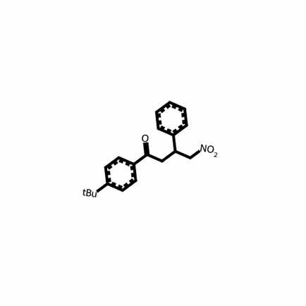 CC(C)(C)c1ccc(C(=O)CC(C[N+](=O)[O-])c2ccccc2)cc1